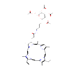 C=Cc1c(C)c2cc3nc(c(C)c4cc(C)c(cc5nc(cc1[nH]2)C(C)=C5CC)[nH]4)[C@@H](CCC(=O)NCCCS[C@@H]1O[C@H](COC(C)=O)[C@@H](OC(C)=O)[C@H](OC(C)=O)[C@H]1OC(C)=O)[C@@H]3C